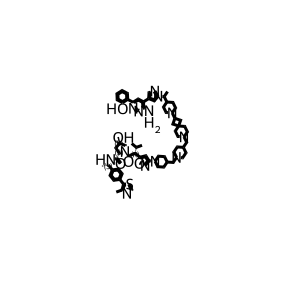 Cc1ncsc1-c1ccc([C@H](C)NC(=O)[C@@H]2C[C@@H](O)CN2C(=O)[C@@H](c2cc(N3CCC(CN4CCC(CN5CCC6(CC5)CC(N5CCC(C(C)n7cc(-c8cc(-c9ccccc9O)nnc8N)cn7)CC5)C6)CC4)CC3)no2)C(C)C)cc1